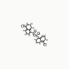 O=C(OC(=O)c1cccc2c(Cl)cccc12)c1cccc2c(Cl)cccc12